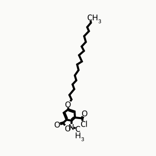 CCCCCCCCCCCCCCCCCCOc1cc(C(=O)Cl)c2c(c1)c(=O)on2C